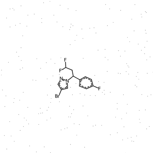 Fc1ccc(C(CC(F)F)n2cc(Br)cn2)cc1